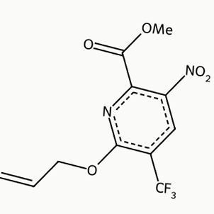 C=CCOc1nc(C(=O)OC)c([N+](=O)[O-])cc1C(F)(F)F